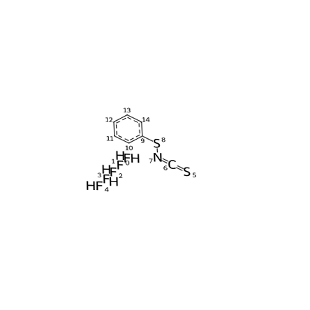 F.F.F.F.F.S=C=NSc1ccccc1